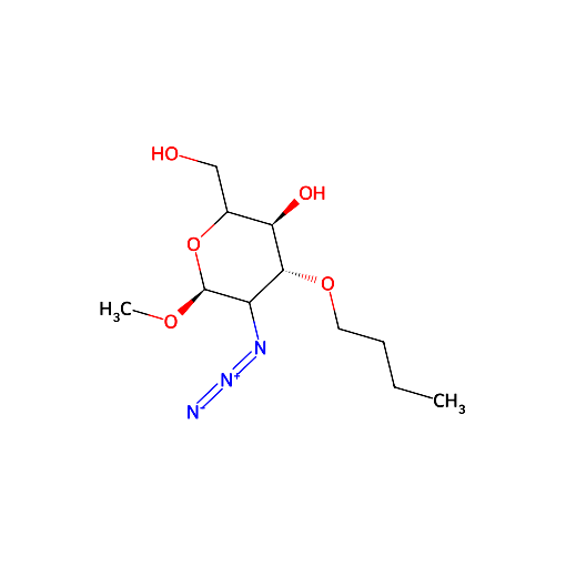 CCCCO[C@@H]1C(N=[N+]=[N-])[C@@H](OC)OC(CO)[C@H]1O